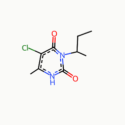 CCC(C)n1c(=O)[nH]c(C)c(Cl)c1=O